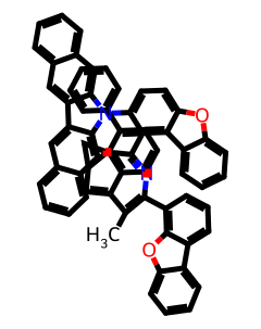 CC1=C(c2cccc3c2oc2ccccc23)/N=C(/c2c(-n3c4cc5ccccc5cc4c4cc5ccccc5cc43)ccc3oc4ccccc4c23)C2CC2\C=C\1c1cccc(-c2ccccc2)c1